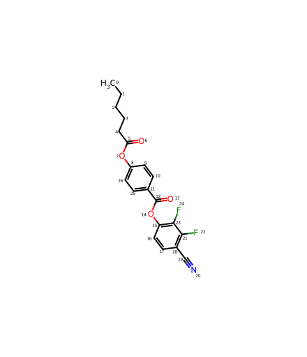 CCCCCC(=O)Oc1ccc(C(=O)Oc2ccc(C#N)c(F)c2F)cc1